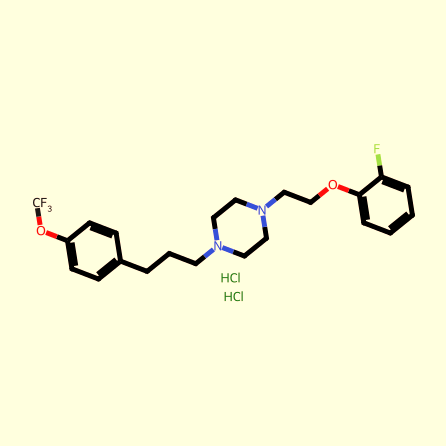 Cl.Cl.Fc1ccccc1OCCN1CCN(CCCc2ccc(OC(F)(F)F)cc2)CC1